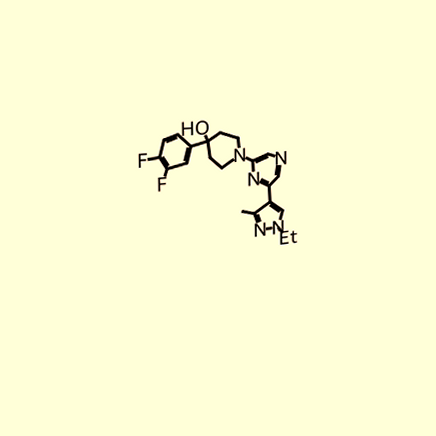 CCn1cc(-c2cncc(N3CCC(O)(c4ccc(F)c(F)c4)CC3)n2)c(C)n1